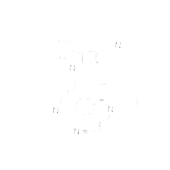 N#Cc1ccc2c(c1)c1ccccc1n2-c1ccc(C#N)c(-c2ccc(-c3c(C#N)cccc3-n3c4c(c5ccccc53)CCC=C4)cc2)c1